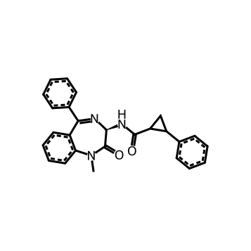 CN1C(=O)[C@H](NC(=O)C2CC2c2ccccc2)N=C(c2ccccc2)c2ccccc21